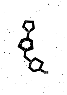 OC1CCN(Cc2ccc(N3CCCC3)cc2)CC1